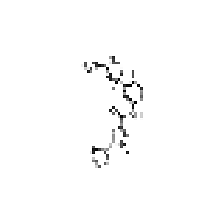 Cn1nc(C(=O)Nc2ccc(F)c(C3(C)CCSC(N)=N3)c2)cc1-c1cccs1